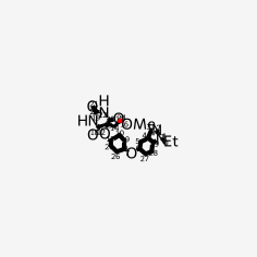 CCn1ncc2cc(Oc3ccc(OC4(CCOC)C(=O)NC(=O)NC4=O)cc3)ccc21